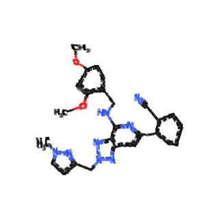 COc1ccc(CNc2nc(-c3ccccc3C#N)cc3nn(Cc4ccn(C)n4)nc23)c(OC)c1